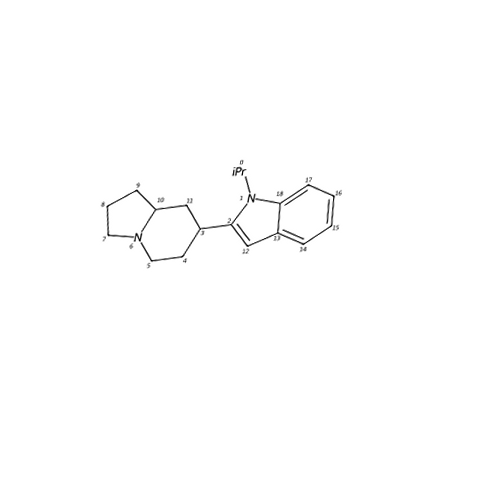 CC(C)n1c(C2CCN3CCCC3C2)cc2ccccc21